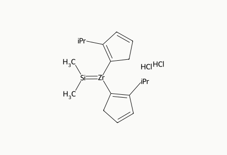 CC(C)C1=[C]([Zr]([C]2=C(C(C)C)C=CC2)=[Si](C)C)CC=C1.Cl.Cl